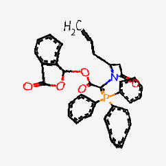 C=CCC1CC(=O)N1C(C(=O)OC1OC(=O)c2ccccc21)=P(c1ccccc1)(c1ccccc1)c1ccccc1